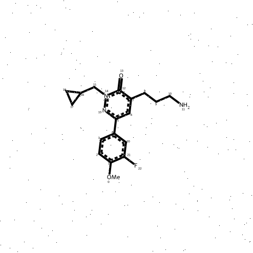 COc1ccc(-c2cc(CCCN)c(=O)n(CC3CC3)n2)cc1F